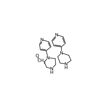 C=O.c1cc(N2CCNCC2)ccn1.c1cc(N2CCNCC2)ccn1